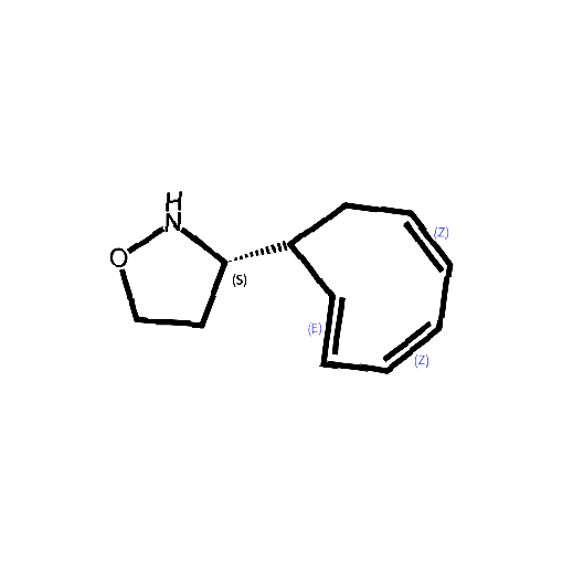 C1=C\C=C\C([C@@H]2CCON2)C\C=C/1